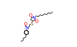 CCCCCCCCCN1C(=O)CC(SCCN(C=O)c2ccc(CCCC)cc2)C1=O